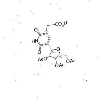 CC(=O)OC[C@H]1O[C@@H](c2cn(CC(=O)O)c(=O)[nH]c2=O)C(OC(C)=O)C1OC(C)=O